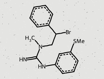 CSc1cccc(NC(=N)N(C)CC(Br)c2ccccc2)c1